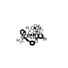 CC(C)(C)OC(=O)N(C(=O)OC(C)(C)C)c1ncc(Br)cc1COc1cccc(C#CC(C)(C)OC2CCCCO2)c1